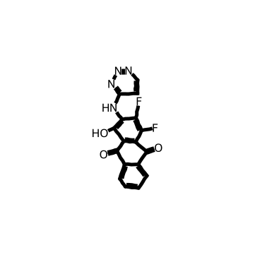 O=C1c2ccccc2C(=O)c2c(F)c(F)c(Nc3ccnnn3)c(O)c21